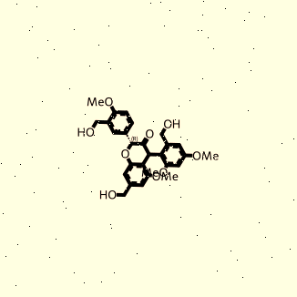 COc1cc(CO)c(C2C(=O)[C@@H](c3ccc(OC)c(CO)c3)Oc3cc(CO)cc(OC)c32)c(OC)c1